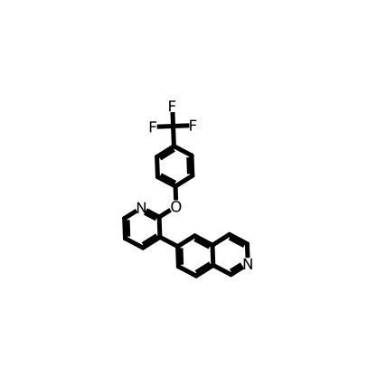 FC(F)(F)c1ccc(Oc2ncccc2-c2ccc3cnccc3c2)cc1